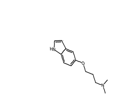 CN(C)CCCOc1ccc2[nH]c[c]c2c1